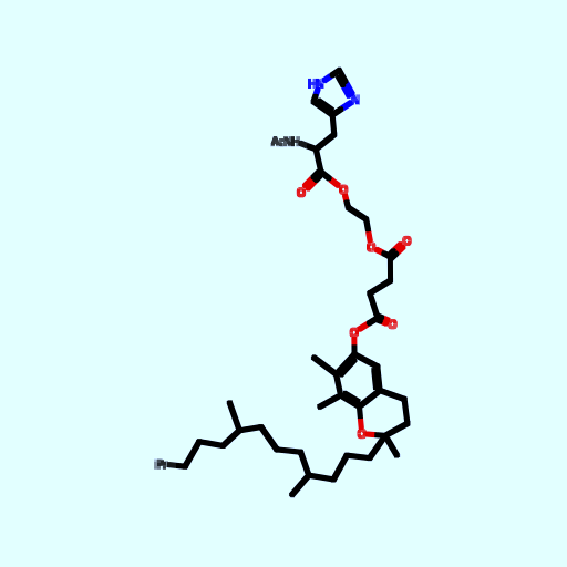 CC(=O)NC(Cc1c[nH]cn1)C(=O)OCCOC(=O)CCC(=O)Oc1cc2c(c(C)c1C)OC(C)(CCCC(C)CCCC(C)CCCC(C)C)CC2